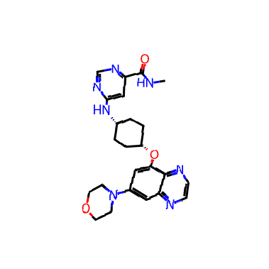 CNC(=O)c1cc(N[C@H]2CC[C@@H](Oc3cc(N4CCOCC4)cc4nccnc34)CC2)ncn1